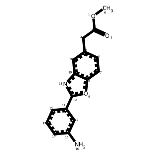 COC(=O)Cc1ccc2oc(-c3cccc(N)c3)nc2c1